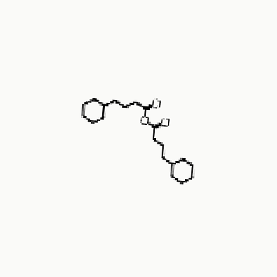 O=C(CCCC1CCCCC1)OC(=O)CCCC1CCCCC1